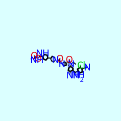 CCN(C(=O)[C@@H]1CCN(CC(=O)N2CC=C(c3ccc(C(=N)OC(=O)NC)cc3)CC2)C1)c1ccc(N)c(C(=N)c2ccc(C#N)c(Cl)c2)c1